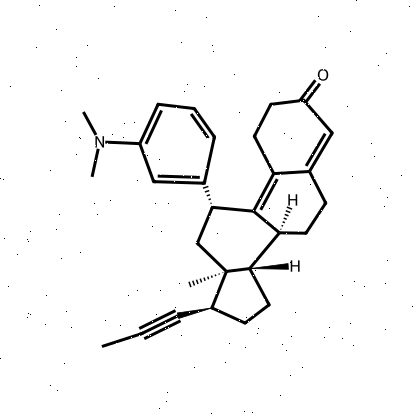 CC#C[C@@H]1CC[C@H]2[C@@H]3CCC4=CC(=O)CCC4=C3[C@@H](c3cccc(N(C)C)c3)C[C@]12C